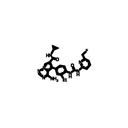 CCc1cc(-c2c(C(=O)NC3CC3)cn3ncnc(N)c23)ccc1NC(=O)Nc1cccc(CF)n1